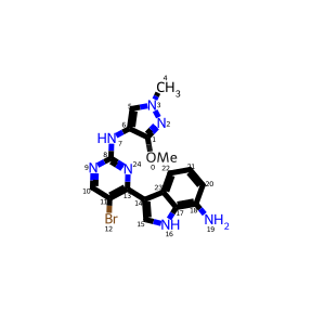 COc1nn(C)cc1Nc1ncc(Br)c(-c2c[nH]c3c(N)cccc23)n1